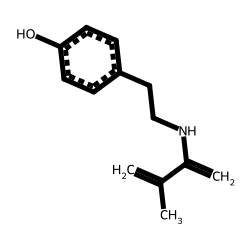 C=C(C)C(=C)NCCc1ccc(O)cc1